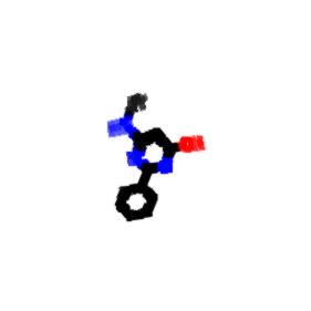 CC(C)Nc1cc(O)nc(-c2ccccc2)n1